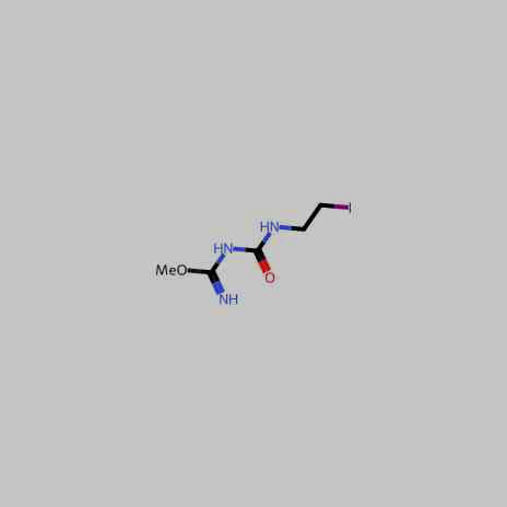 COC(=N)NC(=O)NCCI